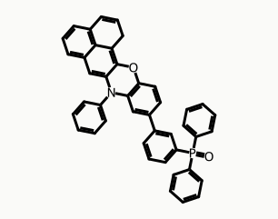 O=P(c1ccccc1)(c1ccccc1)c1cccc(-c2ccc3c(c2)N(c2ccccc2)c2cc4cccc5c4c(c2O3)CC=C5)c1